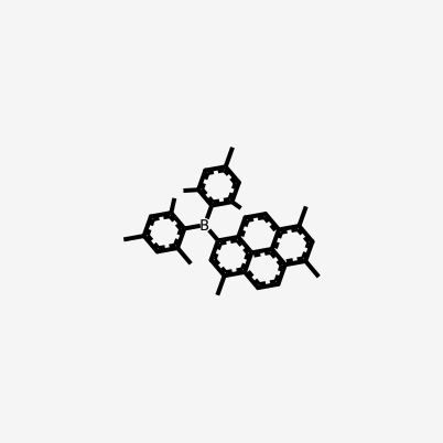 Cc1cc(C)c(B(c2c(C)cc(C)cc2C)c2cc(C)c3ccc4c(C)cc(C)c5ccc2c3c45)c(C)c1